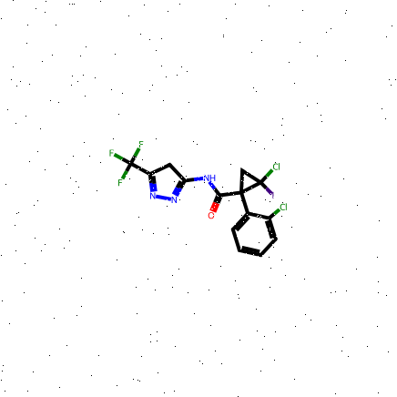 O=C(NC1=NN=C(C(F)(F)F)C1)C1(c2ccccc2Cl)CC1(Cl)I